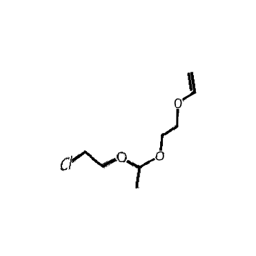 C=COCCOC(C)OCCCl